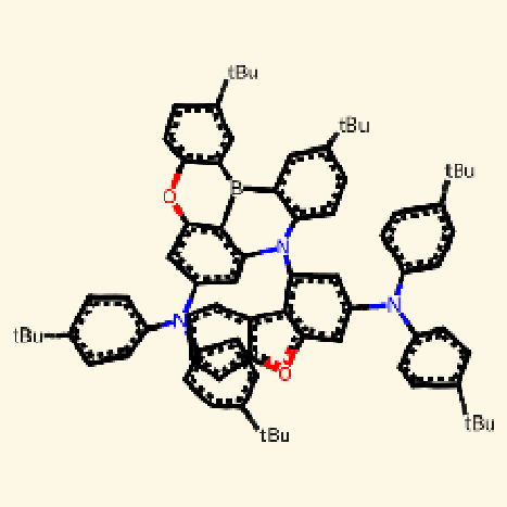 CC(C)(C)c1ccc(N(c2ccc(C(C)(C)C)cc2)c2cc3c4c(c2)N(c2cc(N(c5ccc(C(C)(C)C)cc5)c5ccc(C(C)(C)C)cc5)cc5oc6ccccc6c25)c2ccc(C(C)(C)C)cc2B4c2cc(C(C)(C)C)ccc2O3)cc1